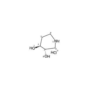 Cl.O[C@H]1CCNC[C@@H]1O